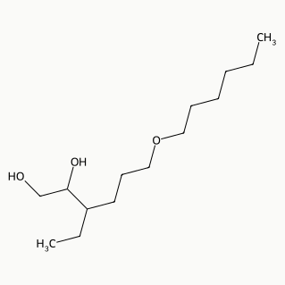 CCCCCCOCCCC(CC)C(O)CO